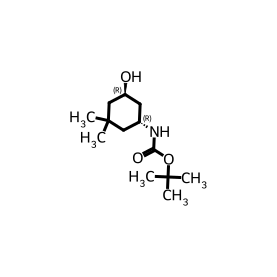 CC1(C)C[C@@H](O)C[C@H](NC(=O)OC(C)(C)C)C1